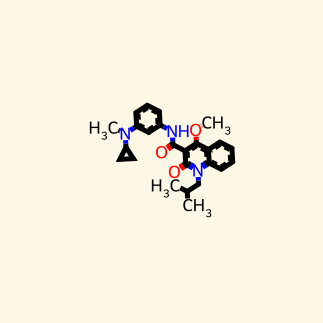 COc1c(C(=O)Nc2cccc(N(C)C3CC3)c2)c(=O)n(CC(C)C)c2ccccc12